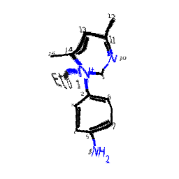 CC[N+]1(c2ccc(N)cc2)CN=C(C)C=C1C